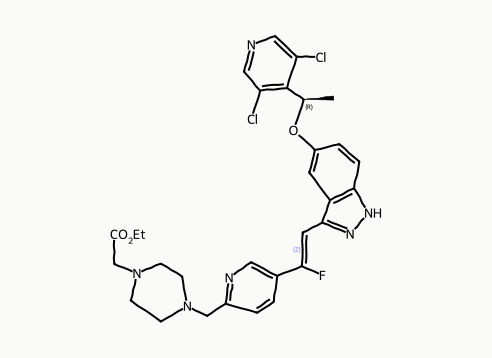 CCOC(=O)CN1CCN(Cc2ccc(/C(F)=C/c3n[nH]c4ccc(O[C@H](C)c5c(Cl)cncc5Cl)cc34)cn2)CC1